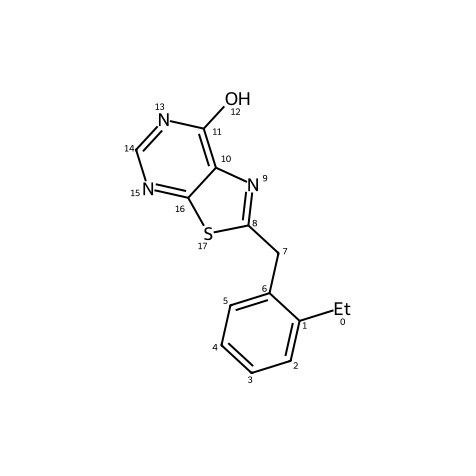 CCc1ccccc1Cc1nc2c(O)ncnc2s1